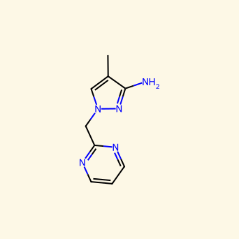 Cc1cn(Cc2ncccn2)nc1N